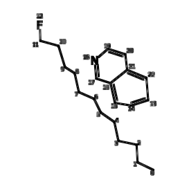 CCCCCCCCCCCCF.c1ccc2cnccc2c1